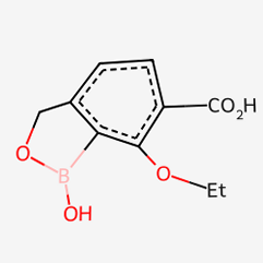 CCOc1c(C(=O)O)ccc2c1B(O)OC2